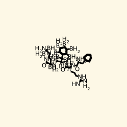 Bc1c(B)c(B)c(C(B)(B)[C@](B)(NC(=O)[C@@H](CCCNC(=N)N)NC(=O)[C@@H](N)Cc2ccccc2)C(=O)N[C@@](B)(CCCC(B)(B)N)C(N)=O)c(B)c1B